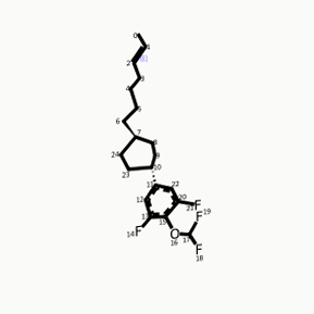 C/C=C/CCCC[C@H]1CC[C@H](c2cc(F)c(OC(F)F)c(F)c2)CC1